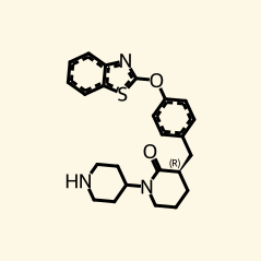 O=C1[C@@H](Cc2ccc(Oc3nc4ccccc4s3)cc2)CCCN1C1CCNCC1